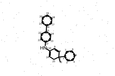 CC1(c2ccccc2)C=CC(Nc2ccc(-c3ccccc3)cc2)=CC1